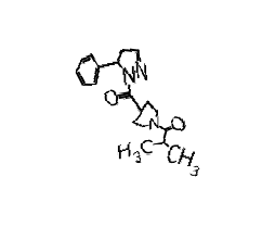 CC(C)C(=O)N1CCC(C(=O)N2N=CCC2c2ccccc2)CC1